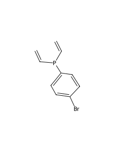 C=CP(C=C)c1ccc(Br)cc1